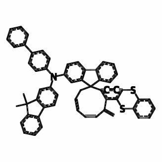 C=C1/C=C\C=C/CC2(c3ccccc3-c3ccc(N(c4ccc(-c5ccccc5)cc4)c4ccc5c(c4)C(C)(C)c4ccccc4-5)cc32)c2ccc3c(c21)Sc1ccccc1S3